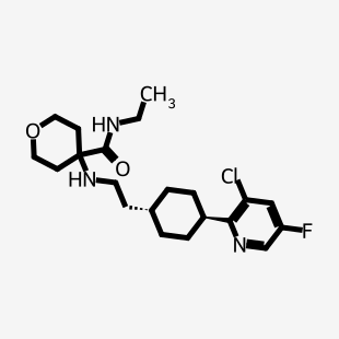 CCNC(=O)C1(NCC[C@H]2CC[C@H](c3ncc(F)cc3Cl)CC2)CCOCC1